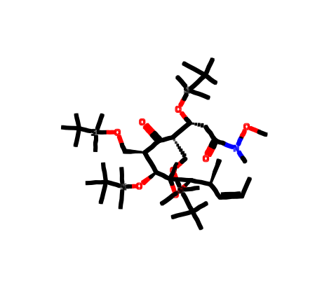 C/C=C\[C@H](C)[C@H]1OC1(C)[C@@H](O[Si](C)(C)C(C)(C)C)[C@@H](CO[Si](C)(C)C(C)(C)C)C(=O)[C@@H](CO[Si](C)(C)C(C)(C)C)[C@@H](CC(=O)N(C)OC)O[Si](C)(C)C(C)(C)C